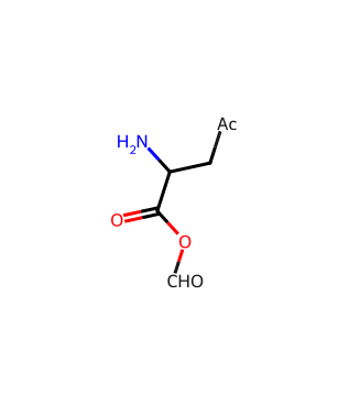 CC(=O)CC(N)C(=O)OC=O